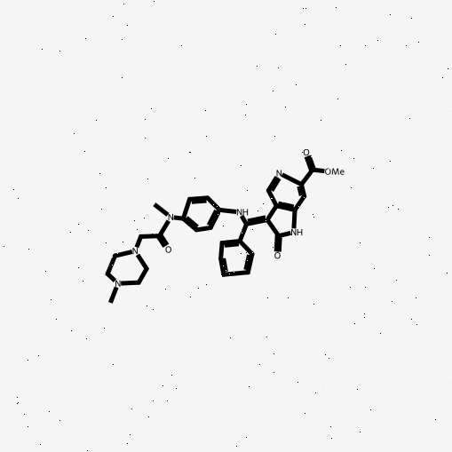 COC(=O)c1cc2c(cn1)C(=C(Nc1ccc(N(C)C(=O)CN3CCN(C)CC3)cc1)c1ccccc1)C(=O)N2